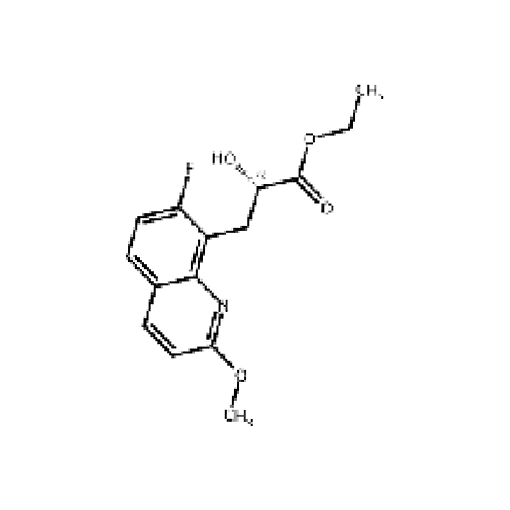 CCOC(=O)[C@@H](O)Cc1c(F)ccc2ccc(OC)nc12